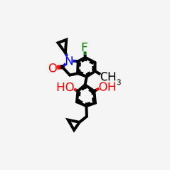 Cc1cc(F)c2c(c1-c1c(O)cc(CC3CC3)cc1O)CC(=O)N2C1CC1